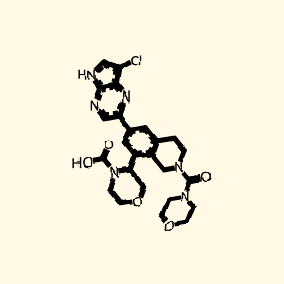 O=C(N1CCOCC1)N1CCc2cc(-c3cnc4[nH]cc(Cl)c4n3)cc(C3COCCN3C(=O)O)c2C1